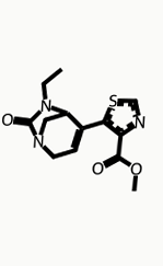 CCN1C(=O)N2CC=C(c3scnc3C(=O)OC)C1C2